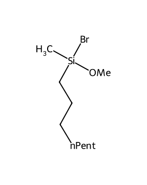 CCCCCCCC[Si](C)(Br)OC